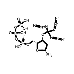 B[C@H]1C[C@@H](OC(N=[N+]=[N-])(N=[N+]=[N-])N=[N+]=[N-])[C@@H](COP(=O)(O)OP(=O)(O)OP(=O)(O)O)O1